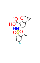 C=Cc1cc(F)ccc1S(=O)(=O)Nc1ccc2c(c1C(O)OC)OCC1CC21